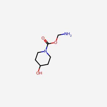 NCOC(=O)N1CCC(O)CC1